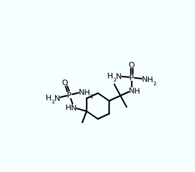 CC1(NP(N)(N)=O)CCC(C(C)(C)NP(N)(N)=O)CC1